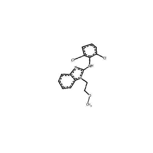 COCCn1c(Nc2c(Cl)cccc2Cl)nc2ccccc21